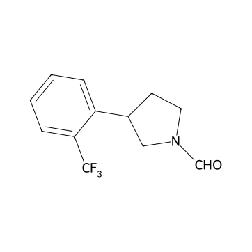 O=CN1CCC(c2ccccc2C(F)(F)F)C1